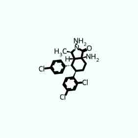 C[C@@H]1[C@H]2[C@@H](c3ccc(Cl)cc3)[C@H](c3ccc(Cl)cc3Cl)CC[C@@]2(N)C(=O)N1N